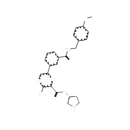 COc1ccc(CNC(=O)c2cccc(-c3cnc(N)c(C(=O)N[C@H]4CCNC4)n3)c2)cc1